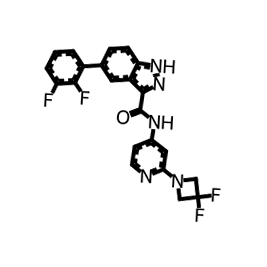 O=C(Nc1ccnc(N2CC(F)(F)C2)c1)c1n[nH]c2ccc(-c3cccc(F)c3F)cc12